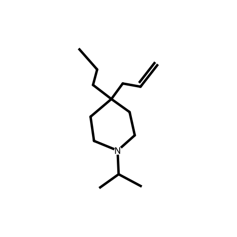 C=CCC1(CCC)CCN(C(C)C)CC1